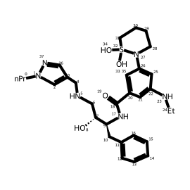 CCCn1cc(CNC[C@@H](O)[C@H](Cc2ccccc2)NC(=O)c2cc(NCC)cc(N3CCCCS3(O)O)c2)cn1